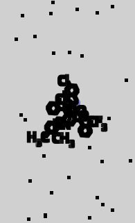 Cc1ccc(CC2NCC(C(=O)c3ccccc3C(F)(F)F)N(C(=O)/C=C/c3ccc(Cl)cc3)C2C(=O)c2ccccc2C(F)(F)F)cc1C